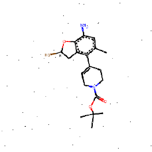 Cc1cc(N)c2c(c1C1=CCN(C(=O)OC(C)(C)C)CC1)C[C@@H](S)O2